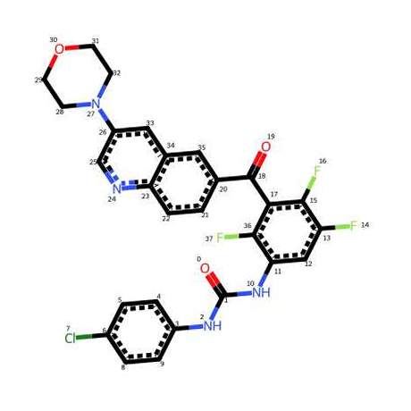 O=C(Nc1ccc(Cl)cc1)Nc1cc(F)c(F)c(C(=O)c2ccc3ncc(N4CCOCC4)cc3c2)c1F